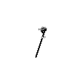 CCCCCCCCCCCCCCCCCCOC(=O)CCc1cc(C)c([PH](O)(O)O)c(C(C)(C)C)c1